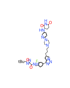 CC(C)(C)c1nc(C(=O)NCc2ccc(-c3ncnn4cc(CCCCN5CCN(c6ccc(NC7CCC(=O)NC7=O)cn6)CC5)cc34)cc2F)no1